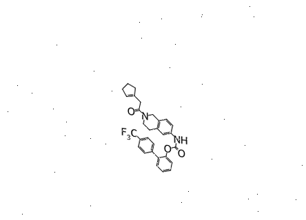 O=C(Nc1ccc2c(c1)CCN(C(=O)CC1=CCCC1)C2)Oc1ccccc1-c1ccc(C(F)(F)F)cc1